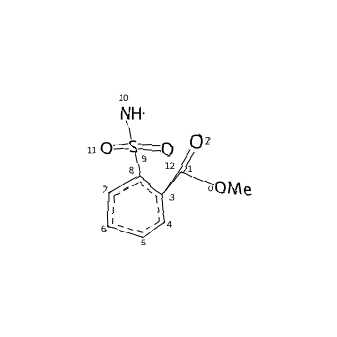 COC(=O)c1ccccc1S([NH])(=O)=O